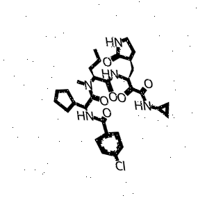 CCC[C@@H](C(=O)N[C@@H](C[C@@H]1CCNC1=O)C(=O)C(=O)NC1CC1)N(C)C(=O)[C@H](NC(=O)c1ccc(Cl)cc1)C1CCCC1